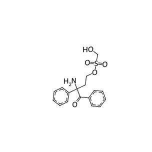 NC(CCOS(=O)(=O)CO)(C(=O)c1ccccc1)c1ccccc1